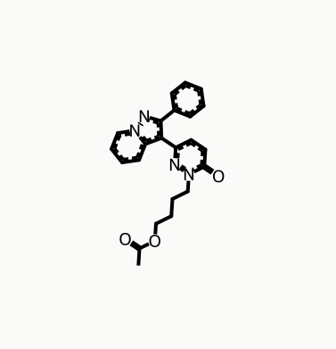 CC(=O)OCCCCn1nc(-c2c(-c3ccccc3)nn3ccccc23)ccc1=O